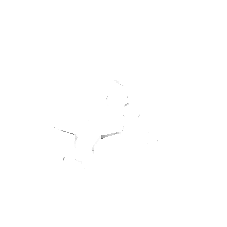 O=C(O)c1cc2cc(O)ccc2n1Cc1ccc(F)c(Cl)c1